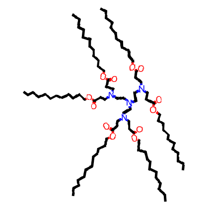 CCCCCCCCCCCCOC(=O)CCN(CCC(=O)OCCCCCCCCCCCC)CCN(CCN(CCC(=O)OCCCCCCCCCCCC)CCC(=O)OCCCCCCCCCCCC)CCN(CCC(=O)OCCCCCCCCCCCC)CCC(=O)OCCCCCCCCCCCC